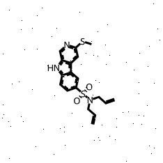 C=CCN(CC=C)S(=O)(=O)c1ccc2[nH]c3cnc(SC)cc3c2c1